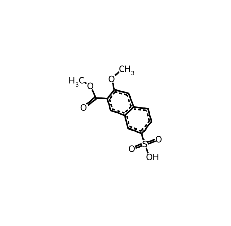 COC(=O)c1cc2cc(S(=O)(=O)O)ccc2cc1OC